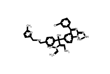 C=CN(C)/C(=C\N)C(O)(c1ccc(CNCc2ccc(C)o2)cc1)c1ccc2c(c1)C(c1cccc(Cl)c1)=NC1=NNNN12